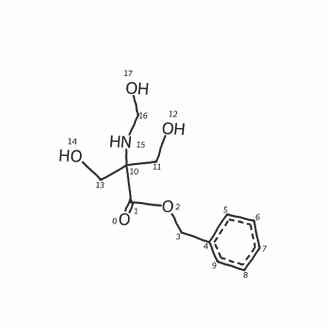 O=C(OCc1ccccc1)C(CO)(CO)NCO